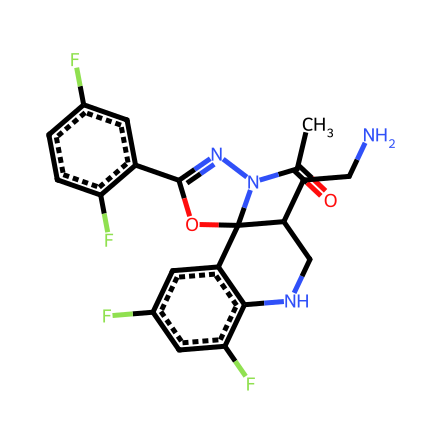 CC(=O)N1N=C(c2cc(F)ccc2F)OC12c1cc(F)cc(F)c1NCC2CCN